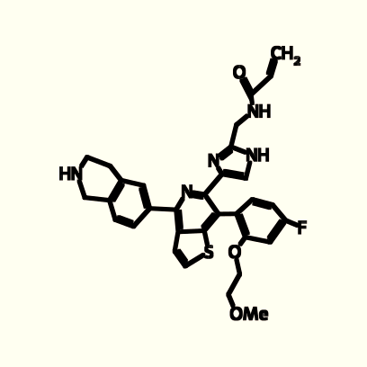 C=CC(=O)NCc1nc(-c2nc(-c3ccc4c(c3)CCNC4)c3ccsc3c2-c2ccc(F)cc2OCCOC)c[nH]1